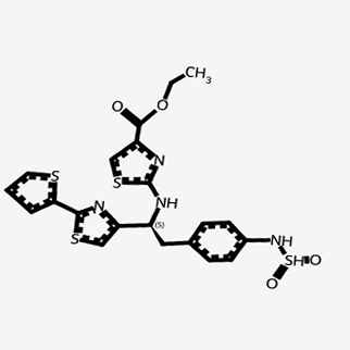 CCOC(=O)c1csc(N[C@@H](Cc2ccc(N[SH](=O)=O)cc2)c2csc(-c3cccs3)n2)n1